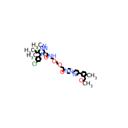 CC(=O)Cc1cc(-c2ccc(N3CCN(C(=O)CCOCCOCCNC(=O)C[C@@H]4N=C(c5ccc(Cl)cc5)c5c(sc(C)c5C)-n5c(C)nnc54)CC3)nc2)ccc1C